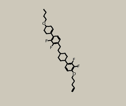 C=CCCCOc1ccc(C2CCC(CCc3ccc(C4=CCC(OCCCC)CC4)c(F)c3F)CC2)c(F)c1F